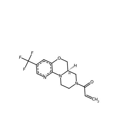 C=CC(=O)N1CCN2c3ncc(C(F)(F)F)cc3OC[C@H]2C1